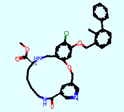 COC(=O)[C@@H]1CCCCNC(=O)c2cncc(c2)COc2cc(OCc3cccc(-c4ccccc4)c3C)c(Cl)cc2CN1